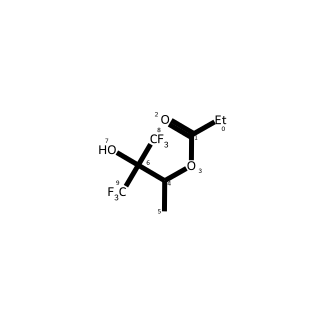 CCC(=O)OC(C)C(O)(C(F)(F)F)C(F)(F)F